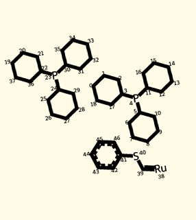 C1CCC(P(C2CCCCC2)C2CCCCC2)CC1.C1CCC(P(C2CCCCC2)C2CCCCC2)CC1.[Ru]=[CH]Sc1ccccc1